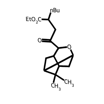 [CH2]CCCC(CC(=O)[C]1OC2CC3C1CC2C3(C)C)C(=O)OCC